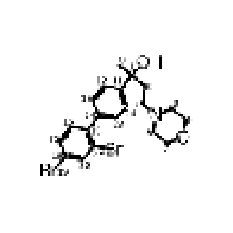 CC(O)(CCN1CCOCC1)c1ccc(-c2ccc(Br)cc2Br)cc1